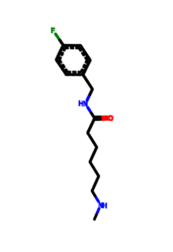 CNCCCCCC(=O)NCc1ccc(F)cc1